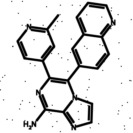 Cc1cc(-c2nc(N)c3nccn3c2-c2ccc3ncccc3c2)ccn1